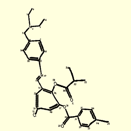 CCN(CC)Cc1ccc(N=Cc2cc(Cl)cc(OC(=O)c3ccc(C)cc3)c2OC(=O)C(C)C)cc1